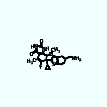 COC1c2[nH]c(=O)[nH]c(=O)c2C(C)=C(F)C1(c1cc2c(s1)CCC(CN)C2)C1CC1